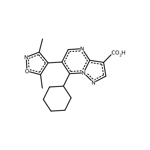 Cc1noc(C)c1-c1cnc2c(C(=O)O)cnn2c1C1CCCCC1